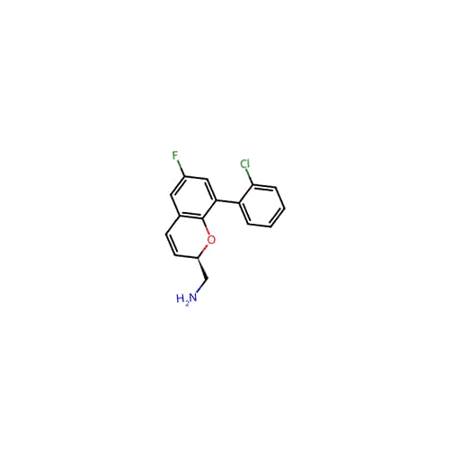 NC[C@H]1C=Cc2cc(F)cc(-c3ccccc3Cl)c2O1